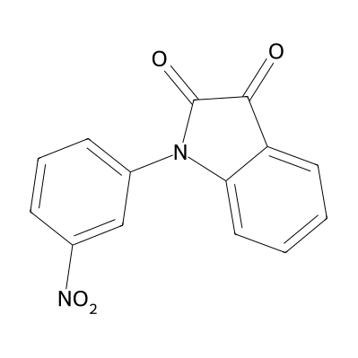 O=C1C(=O)N(c2cccc([N+](=O)[O-])c2)c2ccccc21